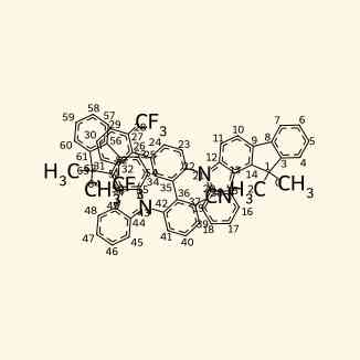 CC1(C)c2ccccc2-c2ccc3c(c21)c1ccccc1n3-c1ccc(-c2c(C(F)(F)F)cccc2C(F)(F)F)cc1-c1c(C#N)cccc1-n1c2ccccc2c2c3c(ccc21)-c1ccccc1C3(C)C